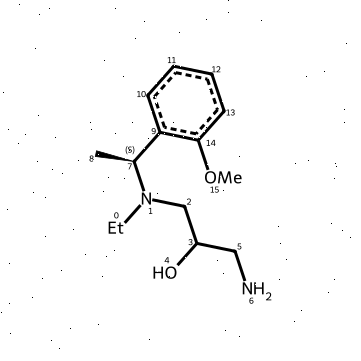 CCN(CC(O)CN)[C@@H](C)c1ccccc1OC